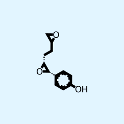 Oc1ccc([C@@H]2O[C@@H]2CCC2CO2)cc1